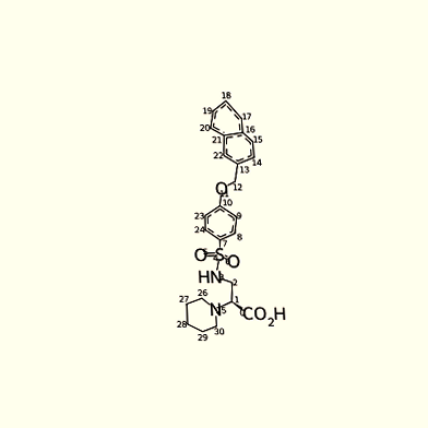 O=C(O)[C@H](CNS(=O)(=O)c1ccc(OCc2ccc3ccccc3c2)cc1)N1CCCCC1